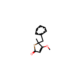 COC1=CC(=O)SC1(C)Cc1ccccc1